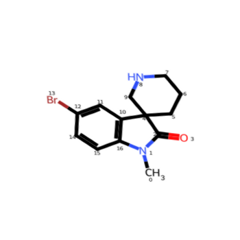 CN1C(=O)C2(CCCNC2)c2cc(Br)ccc21